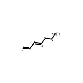 C=C/[C]=C/CCCCC